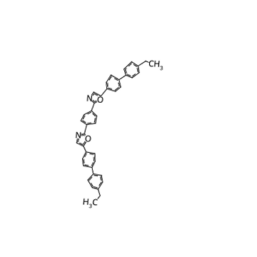 CCc1ccc(-c2ccc(-c3cnc(-c4ccc(-c5ncc(-c6ccc(-c7ccc(CC)cc7)cc6)o5)cc4)o3)cc2)cc1